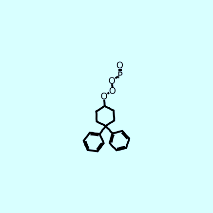 O=POOOC1CCC(c2ccccc2)(c2ccccc2)CC1